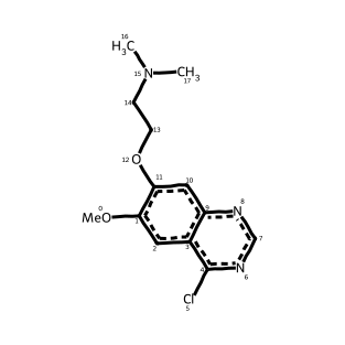 COc1cc2c(Cl)ncnc2cc1OCCN(C)C